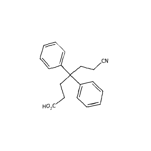 N#CCCC(CCC(=O)O)(c1ccccc1)c1ccccc1